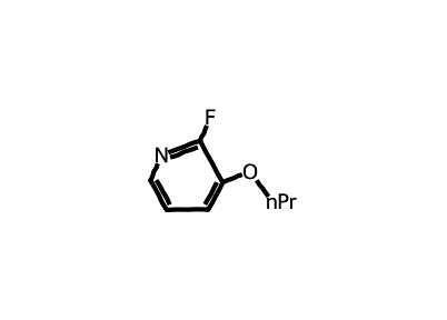 CCCOc1cccnc1F